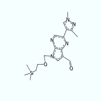 Cc1nn(C)cc1-c1cnc2c(n1)c(C=O)cn2COCC[Si](C)(C)C